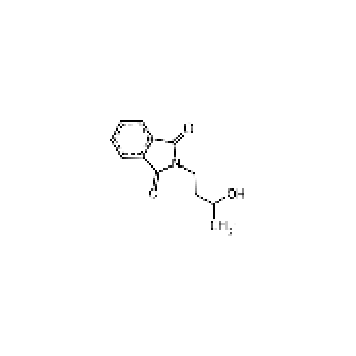 [CH2]C(O)CCN1C(=O)c2ccccc2C1=O